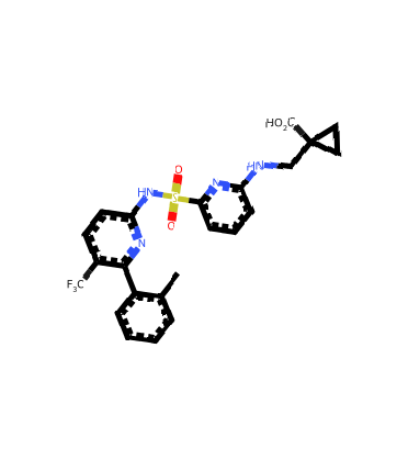 Cc1ccccc1-c1nc(NS(=O)(=O)c2cccc(NCC3(C(=O)O)CC3)n2)ccc1C(F)(F)F